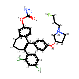 NC(=O)Oc1ccc2c(c1)CCCC(c1ccc(Cl)cc1Cl)=C2c1ccc(O[C@H]2CCN(CCCF)C2)cc1